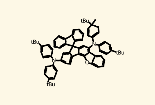 CC(C)(C)c1ccc(N(C2=CCC(C)(C(C)(C)C)C=C2)c2cc3c(c4oc5ccccc5c24)-c2ccc(N(c4ccc(C(C)(C)C)cc4)c4ccc(C(C)(C)C)cc4)cc2C32c3ccccc3-c3ccccc32)cc1